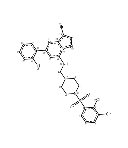 O=S(=O)(c1cccc(Cl)c1Cl)N1CCC(CNc2cc(-c3ccccc3Cl)nc3c(Br)cnn23)CC1